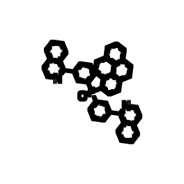 O=P(c1cccc(-c2nccc3ccccc23)c1)(c1cccc(-c2nccc3ccccc23)c1)c1ccc2ccc3cccc4ccc1c2c34